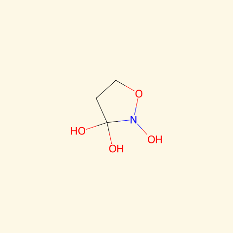 ON1OCCC1(O)O